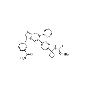 CC(C)(C)OC(=O)NC1(c2ccc(-c3nn4c(-c5cccc(C(N)=O)c5)cnc4cc3-c3ccccc3)cc2)CCC1